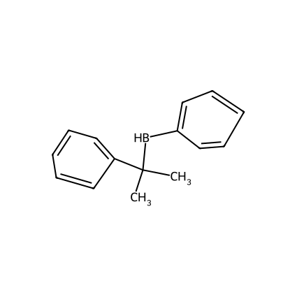 CC(C)(Bc1ccccc1)c1ccccc1